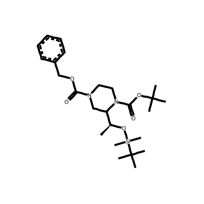 C[C@H](O[Si](C)(C)C(C)(C)C)C1CN(C(=O)OCc2ccccc2)CCN1C(=O)OC(C)(C)C